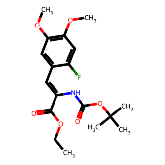 CCOC(=O)/C(=C/c1cc(OC)c(OC)cc1F)NC(=O)OC(C)(C)C